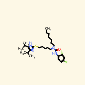 CCCCCCCN(CCCCCSc1nc(C(C)C)c(C(C)C)[nH]1)C(=O)Nc1ccc(F)cc1F